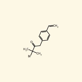 C=Cc1ccc(CC(=O)C(C)(C)Br)cc1